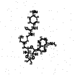 CC(C)CN(CCNC(=O)NC1=CCC(C(C)(C)C)C=C1)C[C@H]1OC(n2cnc3c(N)ncnc32)[C@@H]2OC(C)(C)O[C@H]12